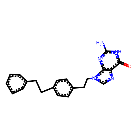 Nc1nc2c(ncn2CCc2ccc(CCc3ccccc3)cc2)c(=O)[nH]1